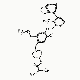 COCc1cc(OCc2cccc(-c3cccc4c3CCC4)c2C)c(Cl)cc1CN1CCC(OC(=O)C(C)C)CC1